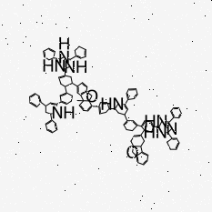 CC12C=CC=C(C3=CCC(C4CC(C5=CCCC(C6=CC=C(C7NC(c8ccccc8)=NC(C8=CC=CCC8)N7)CC6C6=CCC7Oc8ccccc8C7C6)=C5)C=C(c5ccccc5)N4)CC3)C1Oc1ccc(C3CC(C4NC(C5=CC=CCC5)NC(C5C=CC=CC5)N4)=CCC3C3=CC(C4=CC(c5ccccc5)CC(c5ccccc5)N4)=CCC3)cc12